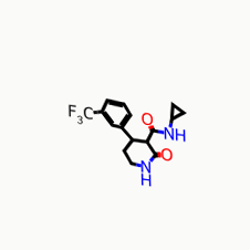 O=C1NCCC(c2cccc(C(F)(F)F)c2)C1C(=O)NC1CC1